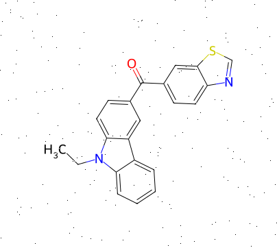 CCn1c2ccccc2c2cc(C(=O)c3ccc4ncsc4c3)ccc21